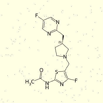 CC(=O)Nc1nc(F)c(CN2CC[C@@H](Cc3ncc(F)cn3)C2)s1